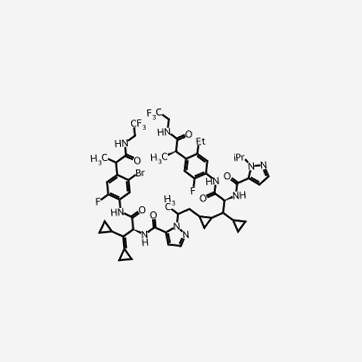 CCc1cc(NC(=O)[C@@H](NC(=O)c2ccnn2C(C)C)C(C2CC2)C2CC2CC(C)n2nccc2C(=O)N[C@H](C(=O)Nc2cc(Br)c(C(C)C(=O)NCC(F)(F)F)cc2F)C(=C2CC2)C2CC2)c(F)cc1[C@@H](C)C(=O)NCC(F)(F)F